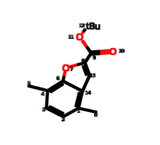 Cc1ccc(C)c2oc(C(=O)OC(C)(C)C)cc12